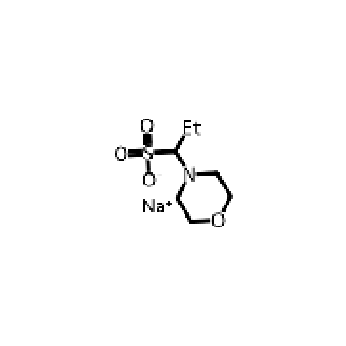 CCC(N1CCOCC1)S(=O)(=O)[O-].[Na+]